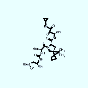 CCC[C@H](NC(=O)[C@@H]1C[C@@]2(CN1C(=O)[C@@H](NC(=O)N[C@H](C[S+]([O-])C(C)(C)C)C(C)(C)C)C(C)(C)C)C(C)(C)C21CCC1)C(=O)C(=O)NC1CC1